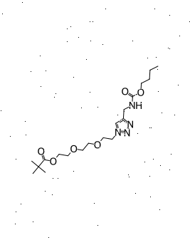 CCCCOC(=O)NCc1cn(CCOCCOCCOC(=O)C(C)(C)C)nn1